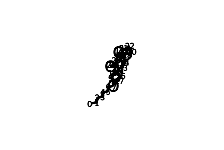 CCCCCCCOc1ccc(N2CCN(C(=O)OC(C)(C)C)CC2=O)cc1